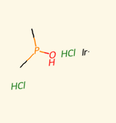 CP(C)O.Cl.Cl.[Ir]